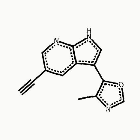 C#Cc1cnc2[nH]cc(-c3ocnc3C)c2c1